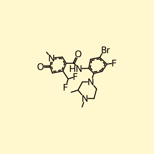 CC1CN(c2cc(F)c(Br)cc2NC(=O)c2cn(C)c(=O)cc2C(F)F)CCN1C